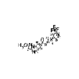 Cc1cc2ncc3c(n2n1)CN(C(=O)CC1CN(c2ccnc(C(F)(F)F)c2)C1)C3